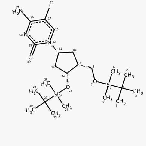 CC(C)(C)[Si](C)(C)OC[C@H]1C[C@@H](n2cc(I)c(N)nc2=O)C[C@H]1O[Si](C)(C)C(C)(C)C